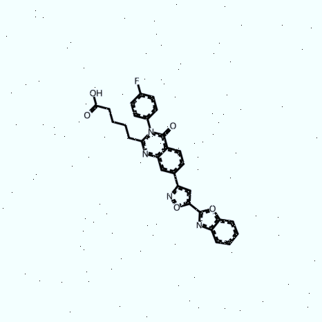 O=C(O)CCCCc1nc2cc(-c3cc(-c4nc5ccccc5o4)on3)ccc2c(=O)n1-c1ccc(F)cc1